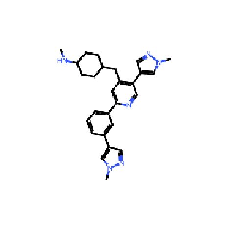 CNC1CCC(Cc2cc(-c3cccc(-c4cnn(C)c4)c3)ncc2-c2cnn(C)c2)CC1